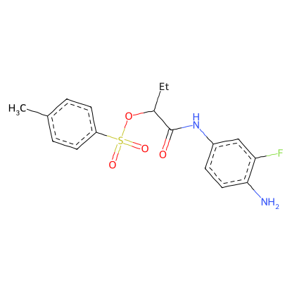 CCC(OS(=O)(=O)c1ccc(C)cc1)C(=O)Nc1ccc(N)c(F)c1